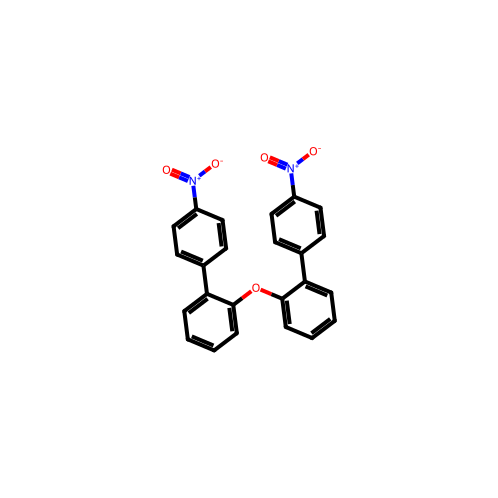 O=[N+]([O-])c1ccc(-c2ccccc2Oc2ccccc2-c2ccc([N+](=O)[O-])cc2)cc1